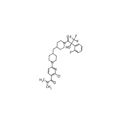 CN(C)C(=O)c1ccc(N2CCC(CC3CCN(C(=O)[C@@](O)(c4ccccc4F)C(F)(F)F)CC3)CC2)nc1Cl